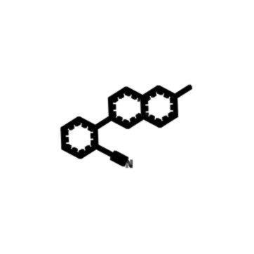 Cc1ccc2cc(-c3ccccc3C#N)ccc2c1